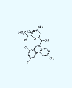 CCCCNCC(OC(C(=O)O)C(O)C(=O)O)C(O)c1cc2c(Cl)cc(Cl)cc2c2cc(C(F)(F)F)ccc12